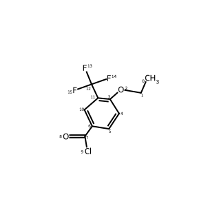 CCOc1ccc(C(=O)Cl)cc1C(F)(F)F